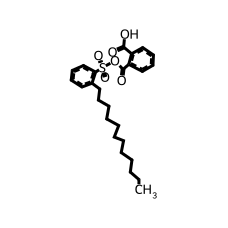 CCCCCCCCCCCCc1ccccc1S(=O)(=O)OC(=O)c1ccccc1C(=O)O